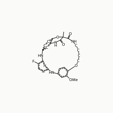 COc1cc2ccc1OCCCCNC(=O)C1(C)Oc3ccc(cc3NC1=O)Nc1nc(ncc1F)N2